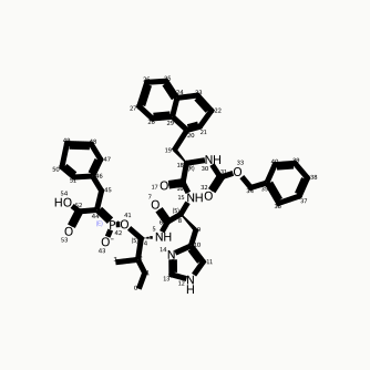 CCC(C)[C@@H](NC(=O)[C@H](Cc1c[nH]cn1)NC(=O)[C@@H](Cc1cccc2ccccc12)NC(=O)OCc1ccccc1)O/[P+]([O-])=C(\Cc1ccccc1)C(=O)O